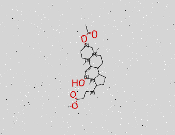 COC(=O)CC[C@@H](C)C1CCC2C3CC[C@]4(C)C[C@H](OC(C)=O)CC[C@]4(C)C3=C[C@H](O)[C@@]21C